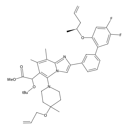 C=CCOC1(C)CCN(c2c(C(OC(C)(C)C)C(=O)OC)c(C)c(C)c3nc(-c4cccc(-c5cc(F)c(F)cc5O[C@@H](C)CC=C)c4)cn23)CC1